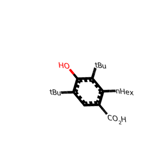 CCCCCCc1c(C(=O)O)cc(C(C)(C)C)c(O)c1C(C)(C)C